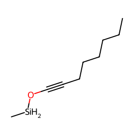 CCCCCCC#CO[SiH2]C